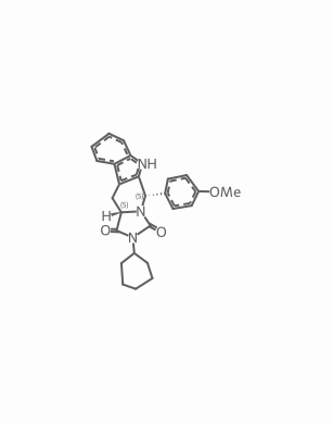 COc1ccc([C@H]2c3[nH]c4ccccc4c3C[C@H]3C(=O)N(C4CCCCC4)C(=O)N23)cc1